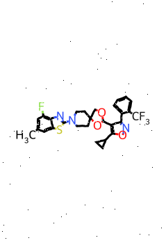 Cc1cc(F)c2nc(N3CCC4(CC3)COC(c3c(-c5ccccc5C(F)(F)F)noc3C3CC3)O4)sc2c1